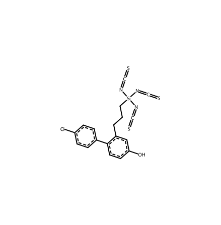 Oc1ccc(-c2ccc(Cl)cc2)c(CCC[Si](N=C=S)(N=C=S)N=C=S)c1